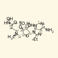 CCc1nc2c(N)ncnc2n1[C@@H]1O[C@H](CN(C)CCC(=O)NO)[C@@H](OS(=O)(=O)O)[C@H]1O